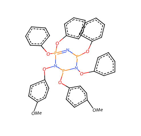 COc1ccc(ON2P(Oc3ccc(OC)cc3)N(Oc3ccccc3)P(Oc3ccccc3)N=P2(Oc2ccccc2)Oc2ccccc2)cc1